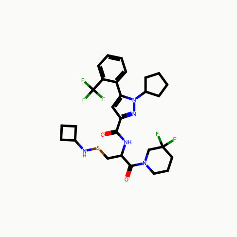 O=C(NC(CSNC1CCC1)C(=O)N1CCCC(F)(F)C1)c1cc(-c2ccccc2C(F)(F)F)n(C2CCCC2)n1